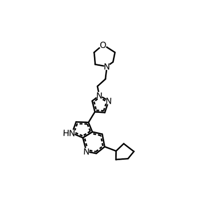 c1nn(CCN2CCOCC2)cc1-c1c[nH]c2ncc(C3CCCC3)cc12